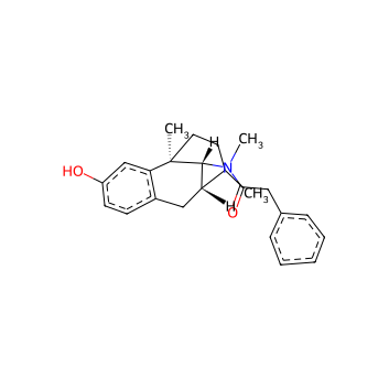 CC1CC[C@]2(C)c3cc(O)ccc3C[C@@H]1[C@H]2N(C)C(=O)Cc1ccccc1